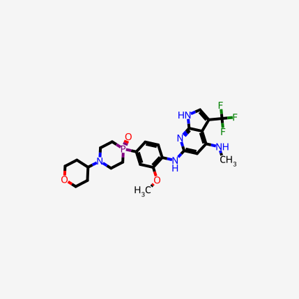 CNc1cc(Nc2ccc(P3(=O)CCN(C4CCOCC4)CC3)cc2OC)nc2[nH]cc(C(F)(F)F)c12